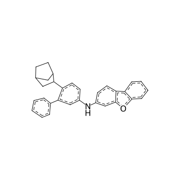 c1ccc(-c2cc(Nc3ccc4c(c3)oc3ccccc34)ccc2C2CC3CCC2C3)cc1